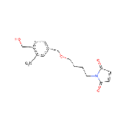 O=C1C=CC(=O)N1CCCCOCc1ccc(CO)c([N+](=O)[O-])c1